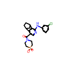 O=C(c1cnc(Nc2cccc(Cl)c2)c2c1C1CCC2C1)N1CCS(=O)(=O)CC1